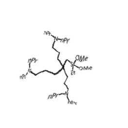 CCCN(CCC)CCCC(CCCN(CCC)CCC)(CCCN(CCC)CCC)C[Si](CC)(OC)OC